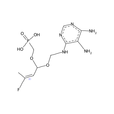 C/C(F)=C\C(OCNc1ncnc(N)c1N)OCP(=O)(O)O